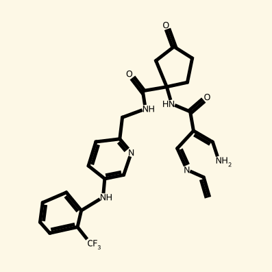 C=C/N=C\C(=C/N)C(=O)NC1(C(=O)NCc2ccc(Nc3ccccc3C(F)(F)F)cn2)CCC(=O)C1